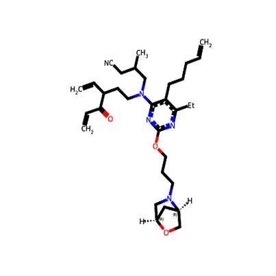 C=CCCCc1c(CC)nc(OCCCN2C[C@H]3C[C@@H]2CO3)nc1N(CCC(C=C)C(=O)C=C)CC(C)CC#N